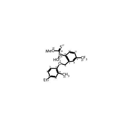 CCc1ccc(OCc2cc(C(F)(F)F)ccc2N(O)C(=S)OC)c(C)c1